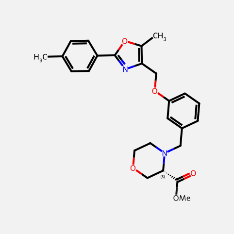 COC(=O)[C@@H]1COCCN1Cc1cccc(OCc2nc(-c3ccc(C)cc3)oc2C)c1